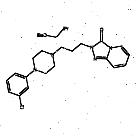 CC(C)COCC(C)C.O=c1n(CCCN2CCN(c3cccc(Cl)c3)CC2)nc2ccccn12